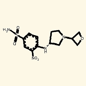 NS(=O)(=O)c1ccc(N[C@@H]2CCN(C3COC3)C2)c([N+](=O)[O-])c1